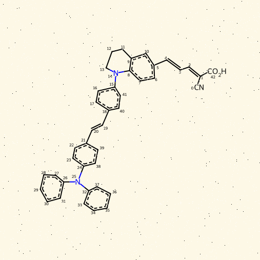 N#C/C(=C\C=C\c1ccc2c(c1)CCCN2c1ccc(/C=C/c2ccc(N(c3ccccc3)c3ccccc3)cc2)cc1)C(=O)O